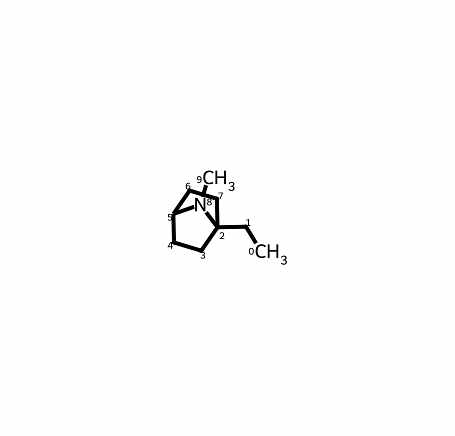 CCC12CCC(CC1)N2C